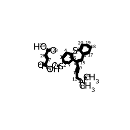 CSc1ccc2c(c1)C(C#CCN(C)C)=Cc1ccccc1S2.O=C(O)C=CC(=O)O